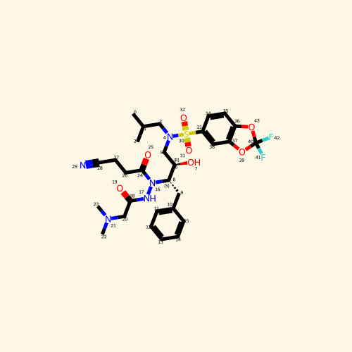 CC(C)CN(C[C@@H](O)[C@H](Cc1ccccc1)N(NC(=O)CN(C)C)C(=O)CCC#N)S(=O)(=O)c1ccc2c(c1)OC(F)(F)O2